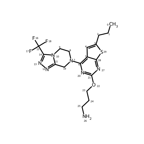 CCCc1cc2c(N3CCn4c(nnc4C(F)(F)F)C3)nc(OCCCN)nc2s1